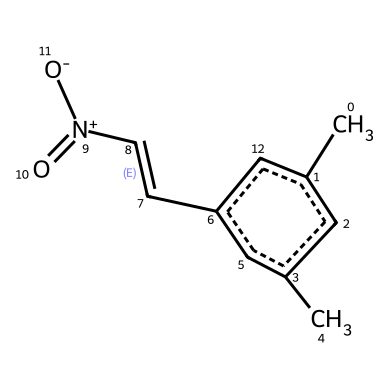 Cc1cc(C)cc(/C=C/[N+](=O)[O-])c1